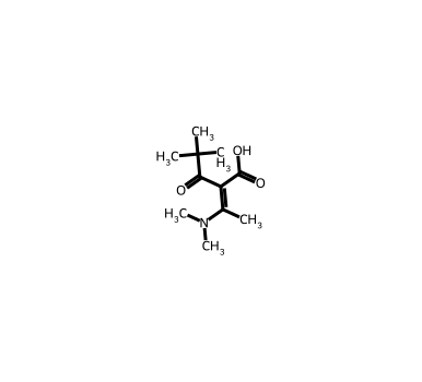 CC(=C(C(=O)O)C(=O)C(C)(C)C)N(C)C